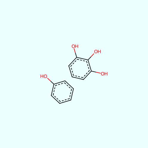 Oc1cccc(O)c1O.Oc1ccccc1